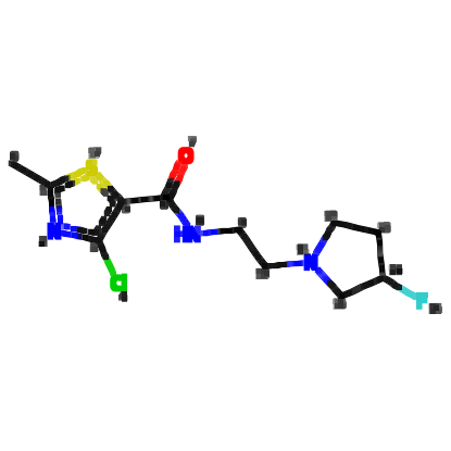 Cc1nc(Cl)c(C(=O)NCCN2CCC(F)C2)s1